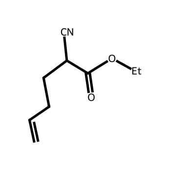 C=CCCC(C#N)C(=O)OCC